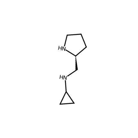 C1CN[C@H](CNC2CC2)C1